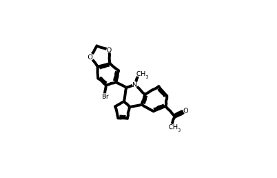 CC(=O)c1ccc2c(c1)C1C=CCC1C(c1cc3c(cc1Br)OCO3)N2C